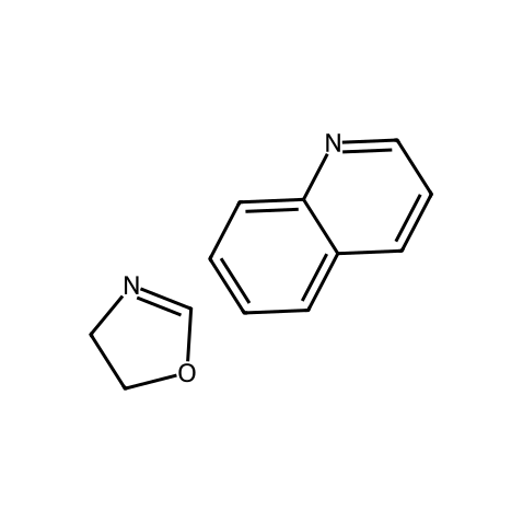 C1=NCCO1.c1ccc2ncccc2c1